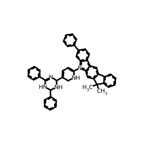 CC1(C)c2ccccc2-c2cc3c4ccc(-c5ccccc5)cc4n(C4=CC=C(C5N=C(c6ccccc6)NC(c6ccccc6)N5)CN4)c3cc21